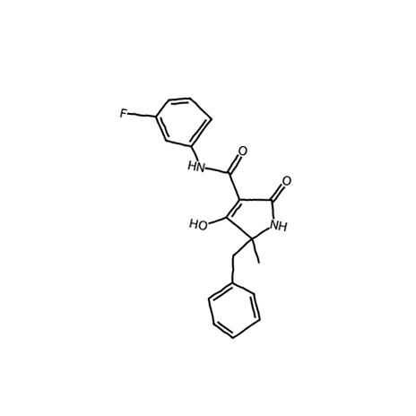 CC1(Cc2ccccc2)NC(=O)C(C(=O)Nc2cccc(F)c2)=C1O